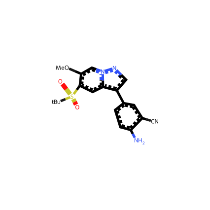 COc1cn2ncc(-c3ccc(N)c(C#N)c3)c2cc1S(=O)(=O)C(C)(C)C